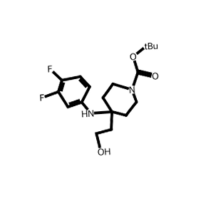 CC(C)(C)OC(=O)N1CCC(CCO)(Nc2ccc(F)c(F)c2)CC1